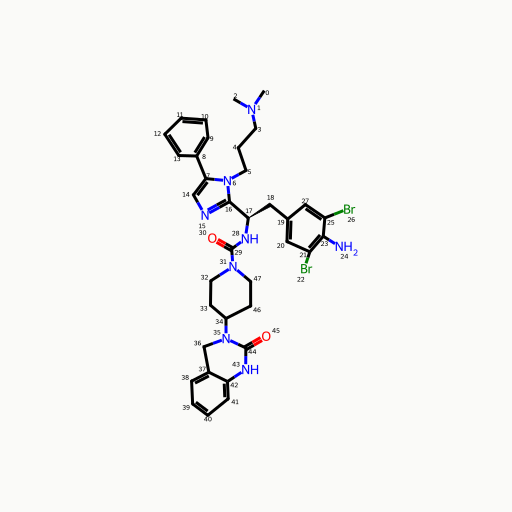 CN(C)CCCn1c(-c2ccccc2)cnc1[C@@H](Cc1cc(Br)c(N)c(Br)c1)NC(=O)N1CCC(N2Cc3ccccc3NC2=O)CC1